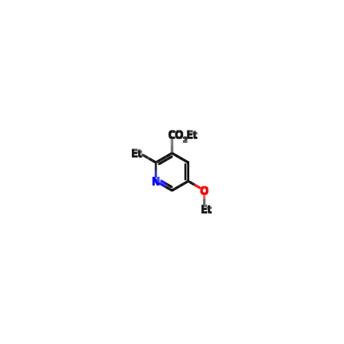 CCOC(=O)c1cc(OCC)cnc1CC